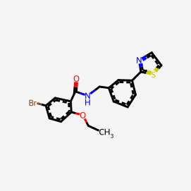 CCOc1ccc(Br)cc1C(=O)NCc1cccc(-c2nccs2)c1